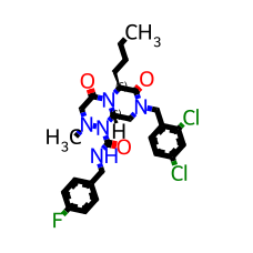 CCCC[C@H]1C(=O)N(Cc2ccc(Cl)cc2Cl)C[C@H]2N1C(=O)CN(C)N2C(=O)NCc1ccc(F)cc1